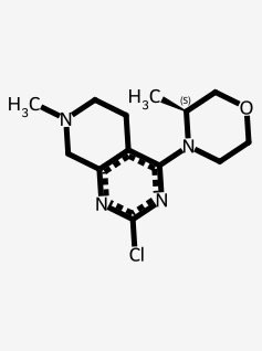 C[C@H]1COCCN1c1nc(Cl)nc2c1CCN(C)C2